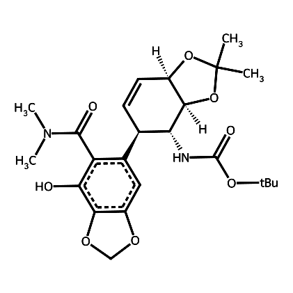 CN(C)C(=O)c1c([C@H]2C=C[C@H]3OC(C)(C)O[C@H]3[C@@H]2NC(=O)OC(C)(C)C)cc2c(c1O)OCO2